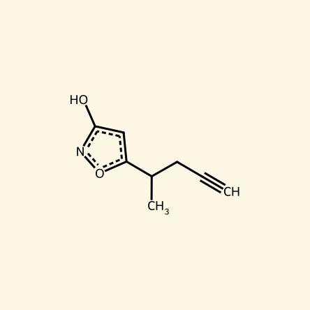 C#CCC(C)c1cc(O)no1